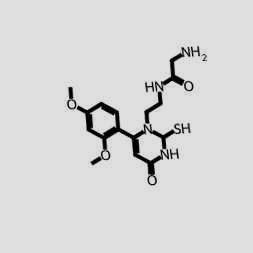 COc1ccc(C2=CC(=O)NC(S)N2CCNC(=O)CN)c(OC)c1